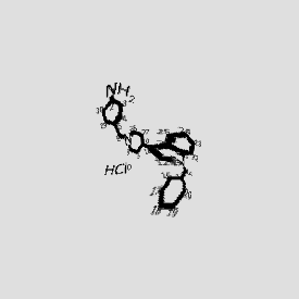 Cl.NC1CCC(CN2CCC(c3cn(CC4CCCCC4)c4ccccc34)CC2)CC1